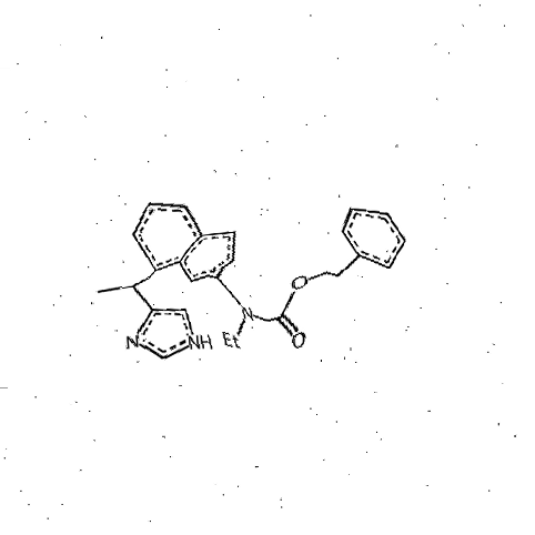 CCN(C(=O)OCc1ccccc1)c1ccc2cccc(C(C)c3c[nH]cn3)c2c1